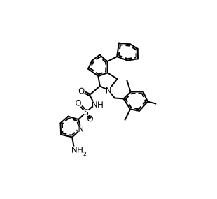 Cc1cc(C)c(CN2Cc3c(-c4ccccc4)cccc3C2C(=O)NS(=O)(=O)c2cccc(N)n2)c(C)c1